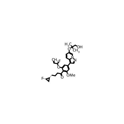 C=CC(F)Oc1cc(-c2cnn3cc(OC(C)(C)CO)ccc23)cc(OC)c1C(=O)CCC[C@@H]1C[C@@H]1F